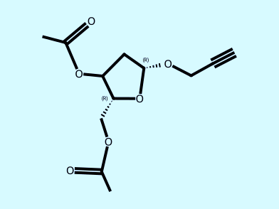 C#CCO[C@H]1CC(OC(C)=O)[C@@H](COC(C)=O)O1